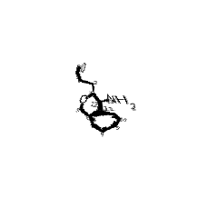 CCC[C@@H]1OCc2ccccc2[C@@H]1N